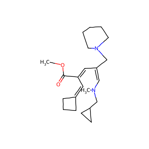 COC(=O)/C(C=C1CCC1)=C/C(=C\N(C)CC1CC1)CN1CCCCC1